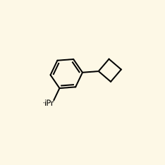 C[C](C)c1cccc(C2CCC2)c1